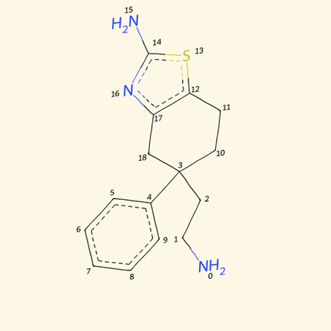 NCCC1(c2ccccc2)CCc2sc(N)nc2C1